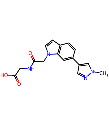 Cn1cc(-c2ccc3ccn(CC(=O)NCC(=O)O)c3c2)cn1